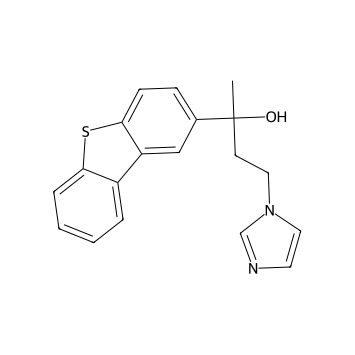 CC(O)(CCn1ccnc1)c1ccc2sc3ccccc3c2c1